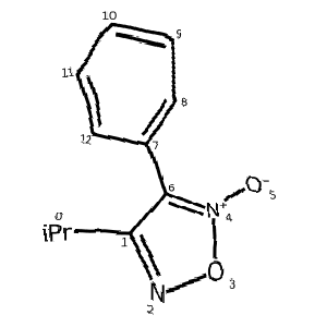 CC(C)c1no[n+]([O-])c1-c1ccccc1